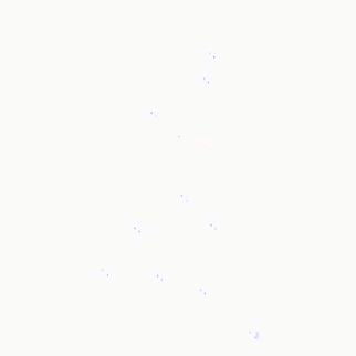 CCn1nc(C)cc1NC(=O)Cn1cnc2c(N3CCNCC3)nc(N)nc21